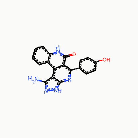 Nc1n[nH]c2nc(-c3ccc(O)cc3)c3c(=O)[nH]c4ccccc4c3c12